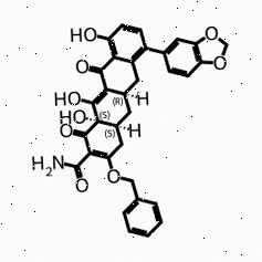 NC(=O)C1=C(OCc2ccccc2)C[C@@H]2C[C@@H]3Cc4c(-c5ccc6c(c5)OCO6)ccc(O)c4C(=O)C3=C(O)[C@]2(O)C1=O